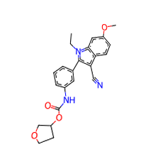 CCn1c(-c2cccc(NC(=O)OC3CCOC3)c2)c(C#N)c2ccc(OC)cc21